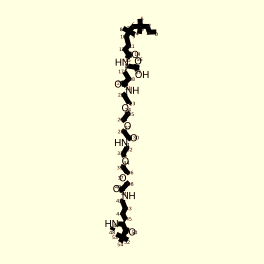 CCCC(C)(C)CC(C)(C)CCCC(=O)N[C@@H](CCC(=O)NCCOCCOCC(=O)NCCOCCOCC(=O)NCCCC[C@H](NC)C(=O)C(C)(C)C)C(=O)O